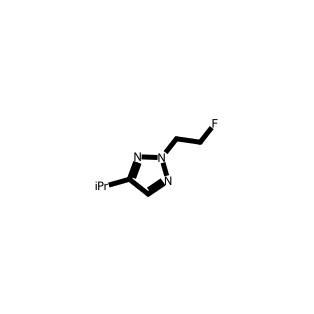 CC(C)c1cnn(CCF)n1